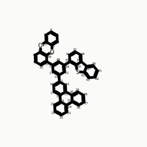 c1ccc2c(c1)Oc1cccc(-c3cc(-c4ccc5c6ccccc6c6ccccc6c5c4)cc(-c4cccc5c4sc4ccccc45)c3)c1O2